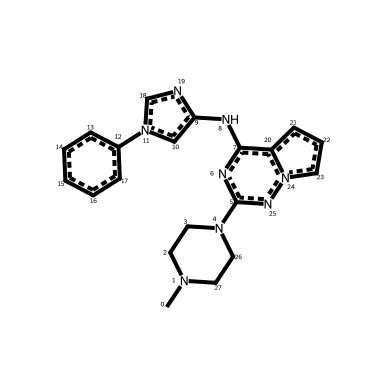 CN1CCN(c2nc(Nc3cn(-c4ccccc4)cn3)c3cccn3n2)CC1